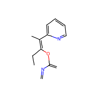 C=NC(=C)O/C(CC)=C(/C)c1ccccn1